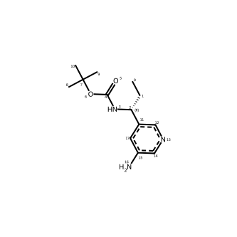 CC[C@@H](NC(=O)OC(C)(C)C)c1cncc(N)c1